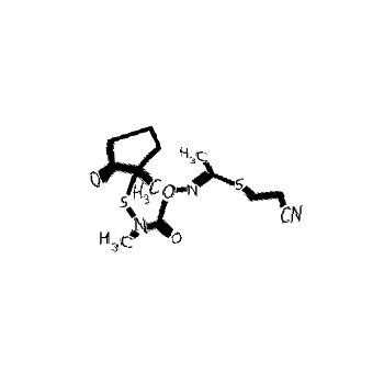 C/C(=N\OC(=O)N(C)SC1(C)CCCC1=O)SCCC#N